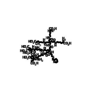 CC(CCCCNC(=O)CCC(CCC(=O)NCCCCC(N)C(=O)O)(CNC(=O)CCC(CCC(=O)NCCCCC(N)C(=O)NC(CCC(=O)O)(CCC(=O)O)CCC(=O)O)(CCC(=O)NCCCCC(N)C(=O)NC(CCC(=O)O)(CCC(=O)O)CCC(=O)O)NC(=O)CCSSc1ccccn1)CC(=O)NCCCCC(N)C(=O)O)C(=O)O